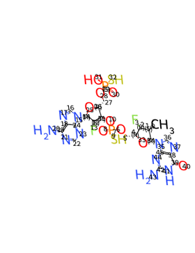 C[C@@H]1[C@H](F)[C@@H](COP(=O)(S)O[C@H]2[C@@H](F)[C@H](n3cnc4c(N)ncnc43)O[C@@H]2CO[P@](=O)(O)S)O[C@H]1n1cnc2c(=O)[nH]c(N)nc21